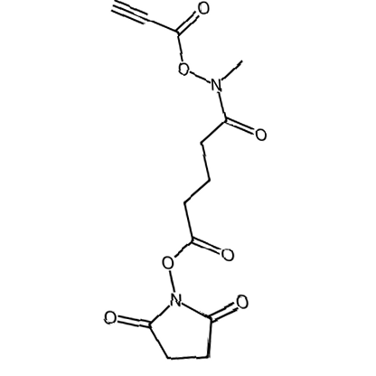 C#CC(=O)ON(C)C(=O)CCCC(=O)ON1C(=O)CCC1=O